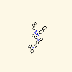 c1ccc2cc(-c3nc(-c4ccc5ccc6ccccc6c5c4)nc(-c4cc(-n5c6ccccc6c6cc7ccc(-n8c9ccccc9c9ccccc98)cc7cc65)cc5ccccc45)n3)ccc2c1